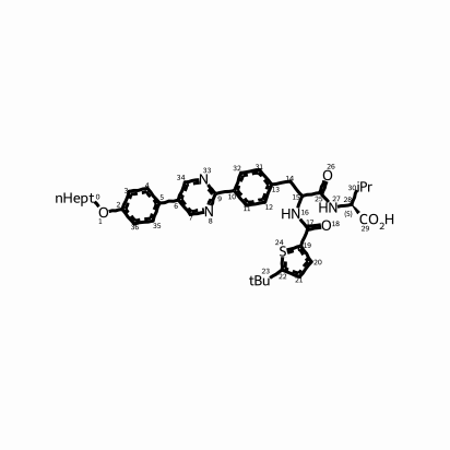 CCCCCCCOc1ccc(-c2cnc(-c3ccc(CC(NC(=O)c4ccc(C(C)(C)C)s4)C(=O)N[C@H](C(=O)O)C(C)C)cc3)nc2)cc1